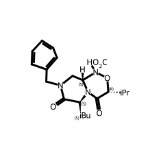 CC[C@H](C)[C@H]1C(=O)N(Cc2ccccc2)C[C@@H]2N(C(=O)O)O[C@H](C(C)C)C(=O)N12